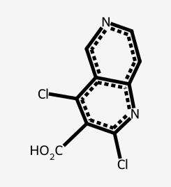 O=C(O)c1c(Cl)nc2ccncc2c1Cl